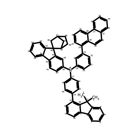 CC1(C)c2ccccc2-c2cccc(-c3ccc(N(c4cccc(-c5cccc6c5ccc5ccccc56)c4)c4ccc5c(c4)C4(CC6CCC4C6)c4ccccc4-5)cc3)c21